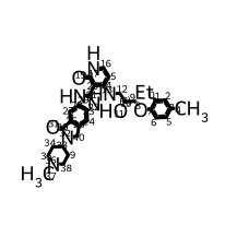 CCc1cc(C)ccc1OC[C@H](O)CNc1cc[nH]c(=O)c1-c1nc2cc3c(cc2[nH]1)C(=O)N(C1CCN(C)CC1)C3